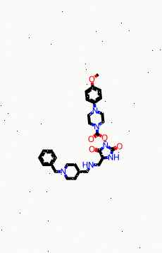 COc1ccc(N2CCN(C(=O)ON3C(=O)NC(CNCC4CCN(Cc5ccccc5)CC4)C3=O)CC2)cc1